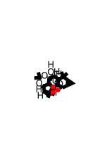 CC1(C)O[C@H]2[C@H]3CC[C@H]4[C@]5(C)C6OO[C@](O1)([C@@H](O)[C@@H]5C(C)(C)C1CC16)[C@@]24C(=O)C3(C)C